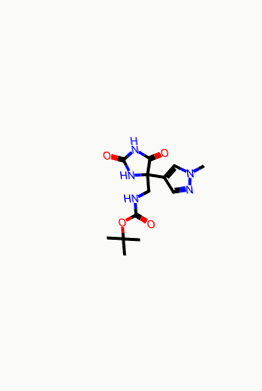 Cn1cc(C2(CNC(=O)OC(C)(C)C)NC(=O)NC2=O)cn1